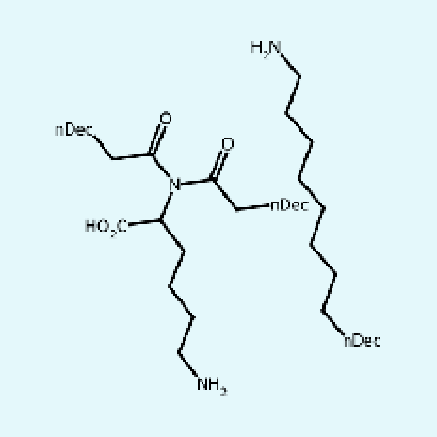 CCCCCCCCCCCC(=O)N(C(=O)CCCCCCCCCCC)C(CCCCN)C(=O)O.CCCCCCCCCCCCCCCCCCN